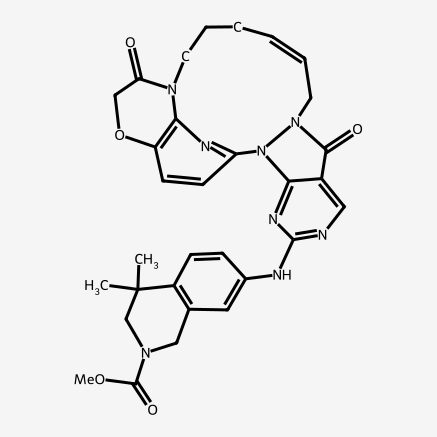 COC(=O)N1Cc2cc(Nc3ncc4c(=O)n5n(c4n3)-c3ccc4c(n3)N(CCC/C=C\C5)C(=O)CO4)ccc2C(C)(C)C1